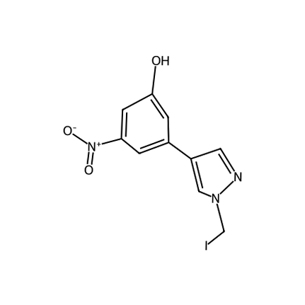 O=[N+]([O-])c1cc(O)cc(-c2cnn(CI)c2)c1